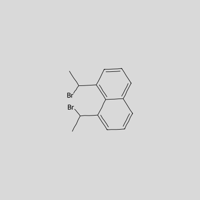 CC(Br)c1cccc2cccc(C(C)Br)c12